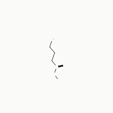 COS(=O)CCCN